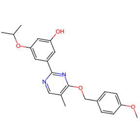 COc1ccc(COc2nc(-c3cc(O)cc(OC(C)C)c3)ncc2C)cc1